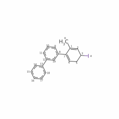 CC1=CC(I)CC=C1c1cccc(-c2ccccc2)c1